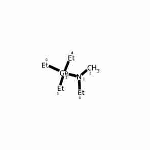 CC[N](C)[Ge]([CH2]C)([CH2]C)[CH2]C